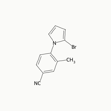 Cc1cc(C#N)ccc1-n1cccc1Br